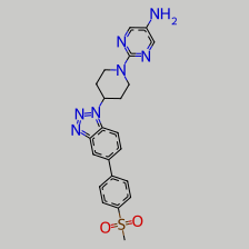 CS(=O)(=O)c1ccc(-c2ccc3c(c2)nnn3C2CCN(c3ncc(N)cn3)CC2)cc1